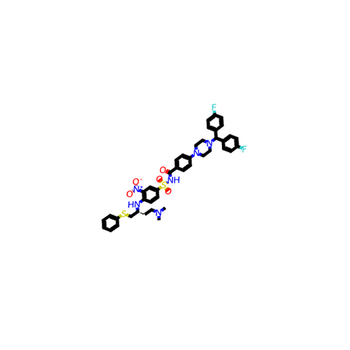 CN(C)CC[C@H](CSc1ccccc1)Nc1ccc(S(=O)(=O)NC(=O)c2ccc(N3CCN(C(c4ccc(F)cc4)c4ccc(F)cc4)CC3)cc2)cc1[N+](=O)[O-]